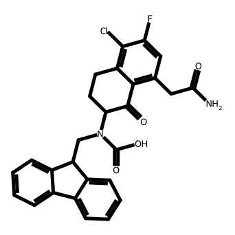 NC(=O)Cc1cc(F)c(Cl)c2c1C(=O)C(N(CC1c3ccccc3-c3ccccc31)C(=O)O)CC2